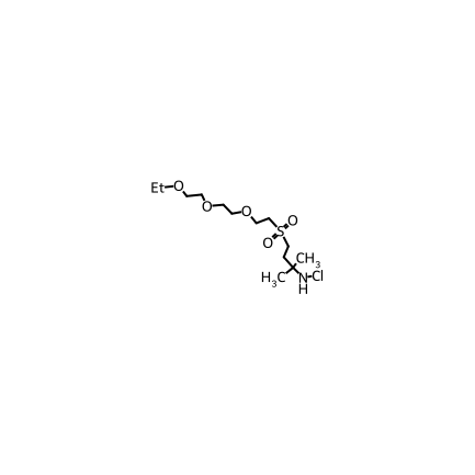 CCOCCOCCOCCS(=O)(=O)CCC(C)(C)NCl